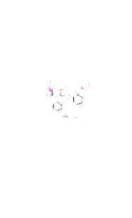 CC(=O)Oc1ccccc1CN(Cc1ccccc1OC(C)=O)[C@@H](Cc1c[nH]cn1)C(=O)O